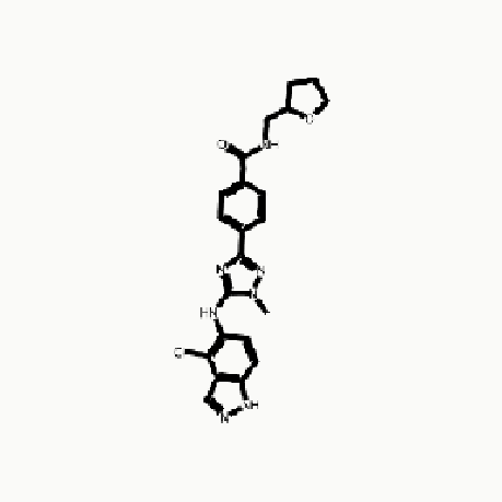 Cn1nc(-c2ccc(C(=O)NCC3CCCO3)cc2)nc1Nc1ccc2[nH]ncc2c1Cl